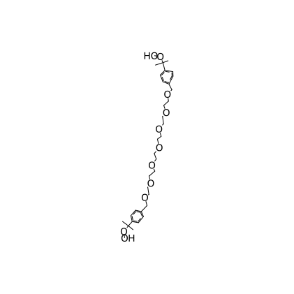 CC(C)(OO)c1ccc(COCCOCCOCCOCCOCCOCCOCc2ccc(C(C)(C)OO)cc2)cc1